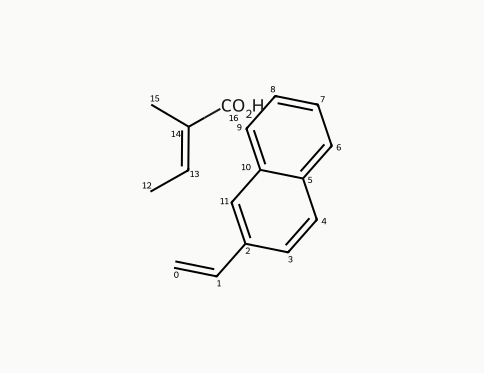 C=Cc1ccc2ccccc2c1.CC=C(C)C(=O)O